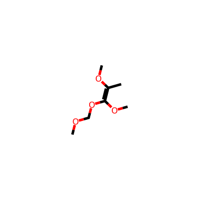 COCOC(OC)=C(C)OC